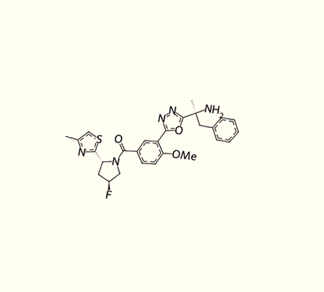 COc1ccc(C(=O)N2C[C@@H](F)C[C@@H]2c2nc(C)cs2)cc1-c1nnc([C@@](C)(N)Cc2ccccc2)o1